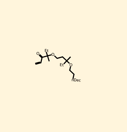 C=CC(=O)C(C)(CC)OCCC(C)(CC)OCCCCCCCCCCCC